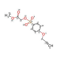 C#CCOc1ccc(S(=O)(=O)OCC(=O)OC)cc1